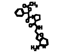 CC(=O)OC(C(=O)N1CCCC1C(=O)NCc1cc2c(N)nccc2o1)c1ccccc1